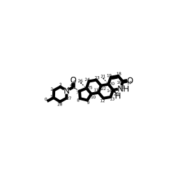 CC1CCN(C(=O)[C@H]2CCC3C4CC[C@H]5NC(=O)C=C[C@]5(C)C4CC[C@@]32C)CC1